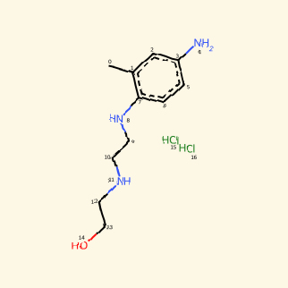 Cc1cc(N)ccc1NCCNCCO.Cl.Cl